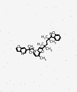 Cc1cc[n+](CC(C)(C)c2cnc3ccoc3c2)c2cc(C(C)(C)CCC(C)(C)c3noc4ccccc34)oc12